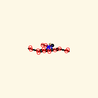 C=CC(=O)OCCCCCCOC(=O)C1CCC(C(=O)Oc2ccc(OC(=O)C3CCC(COc4ccc(OCCCCCCOC(=O)C=C)cc4)CC3)c(/C=N/N(CCOCCOC)c3nc4ccccc4s3)c2)CC1